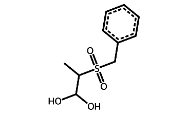 CC(C(O)O)S(=O)(=O)Cc1ccccc1